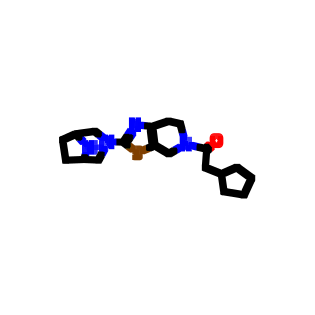 O=C(CC1CCCC1)N1CCc2nc(N3CC4CCC(C3)N4)sc2C1